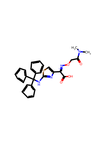 CN(C)C(=O)CO/N=C(\C(=O)O)c1csc(NC(c2ccccc2)(c2ccccc2)c2ccccc2)n1